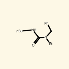 [CH2]CN(CC(C)C)C(=O)NCCCC